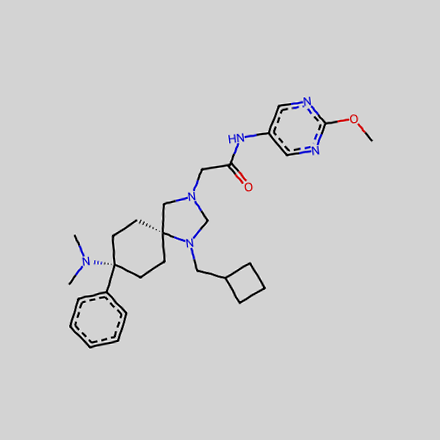 COc1ncc(NC(=O)CN2CN(CC3CCC3)[C@]3(CC[C@@](c4ccccc4)(N(C)C)CC3)C2)cn1